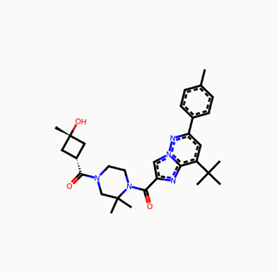 Cc1ccc(-c2cc(C(C)(C)C)c3nc(C(=O)N4CCN(C(=O)[C@H]5C[C@@](C)(O)C5)CC4(C)C)cn3n2)cc1